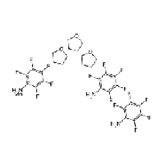 C1CCOC1.C1CCOC1.C1CCOC1.Nc1c(F)c(F)c(F)c(F)c1F.Nc1c(F)c(F)c(F)c(F)c1F.Nc1c(F)c(F)c(F)c(F)c1F.[Sm]